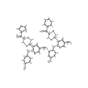 Nc1ncc(Oc2ccc(Cl)cc2)c(N2CCN(C(=O)c3ccccc3)CC2)n1.Nc1ncc(Oc2ccc(Cl)cc2)c(N2CCN(C(=O)c3ccco3)CC2)n1